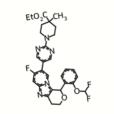 CCOC(=O)C1(C)CCN(c2ncc(-c3cn4c5c(nc4cc3F)CCOC5c3ccccc3OC(F)F)cn2)CC1